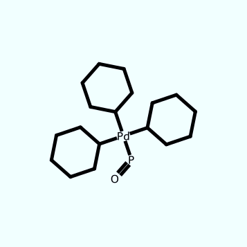 O=[P][Pd]([CH]1CCCCC1)([CH]1CCCCC1)[CH]1CCCCC1